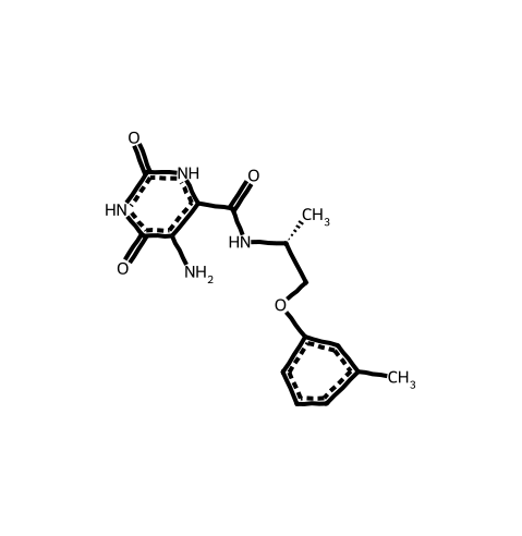 Cc1cccc(OC[C@@H](C)NC(=O)c2[nH]c(=O)[nH]c(=O)c2N)c1